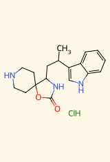 CC(CC1NC(=O)OC12CCNCC2)c1c[nH]c2ccccc12.Cl